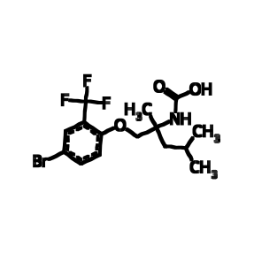 CC(C)CC(C)(COc1ccc(Br)cc1C(F)(F)F)NC(=O)O